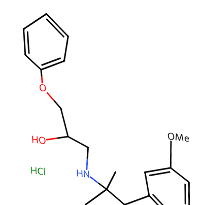 COc1cccc(CC(C)(C)NCC(O)COc2ccccc2)c1.Cl